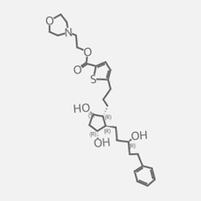 O=C(OCCN1CCOCC1)c1ccc(CCC[C@@H]2[C@@H](CC[C@@H](O)CCc3ccccc3)[C@H](O)C[C@@H]2O)s1